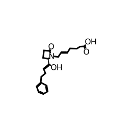 O=C(O)CCCC=CCN1C(=O)CC[C@@H]1C(O)=CCCc1ccccc1